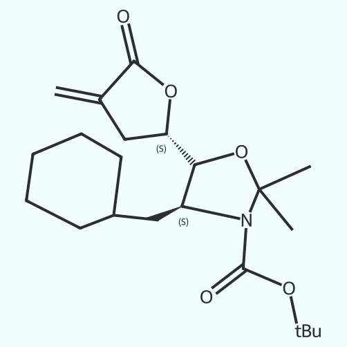 C=C1C[C@@H](C2OC(C)(C)N(C(=O)OC(C)(C)C)[C@H]2CC2CCCCC2)OC1=O